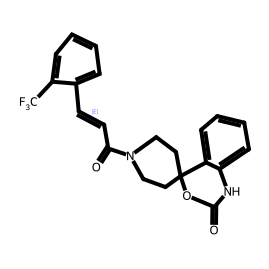 O=C1Nc2ccccc2C2(CCN(C(=O)/C=C/c3ccccc3C(F)(F)F)CC2)O1